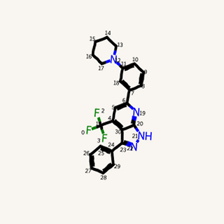 FC(F)(F)c1cc(-c2cccc(N3CCCCC3)c2)nc2[nH]nc(-c3ccccc3)c12